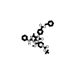 COC(=O)C1(n2c(=O)n(-c3ccc(C(=O)OCc4ccccc4)cc3)c3c(C)nc(Nc4ccccc4)nc32)CCN(C(=O)OC(C)(C)C)CC1